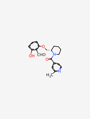 Cc1cc(C(=O)N2CCCC[C@H]2COc2cccc(O)c2C=O)ccn1